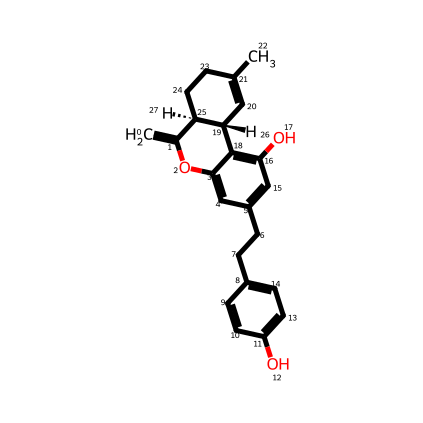 C=C1Oc2cc(CCc3ccc(O)cc3)cc(O)c2[C@H]2C=C(C)CC[C@H]12